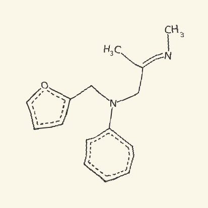 C/N=C(\C)CN(Cc1ccco1)c1ccccc1